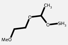 COCCOC(C)O[SiH3]